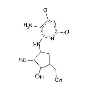 Nc1c(Cl)nc(Cl)nc1NC1CC(CO)C(O)C1O